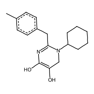 Cc1ccc(CC2=NC(O)=C(O)CN2C2CCCCC2)cc1